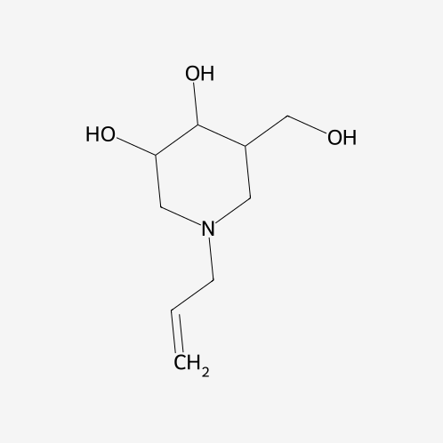 C=CCN1CC(O)C(O)C(CO)C1